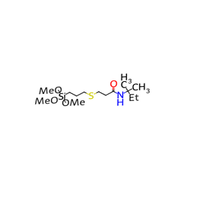 CCC(C)(C)NC(=O)CCSCCC[Si](OC)(OC)OC